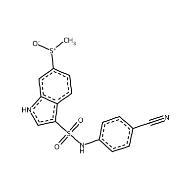 C[S+]([O-])c1ccc2c(S(=O)(=O)Nc3ccc(C#N)cc3)c[nH]c2c1